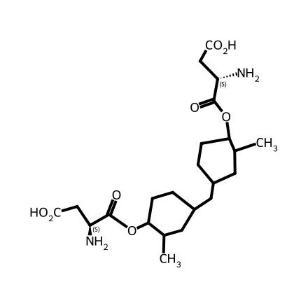 CC1CC(CC2CCC(OC(=O)[C@@H](N)CC(=O)O)C(C)C2)CCC1OC(=O)[C@@H](N)CC(=O)O